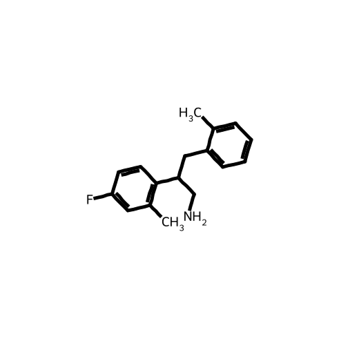 Cc1ccccc1CC(CN)c1ccc(F)cc1C